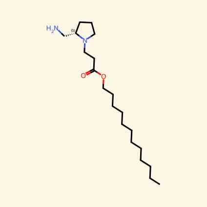 CCCCCCCCCCCCOC(=O)CCN1CCC[C@H]1CN